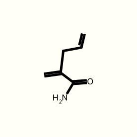 C=CCC(=C)C(N)=O